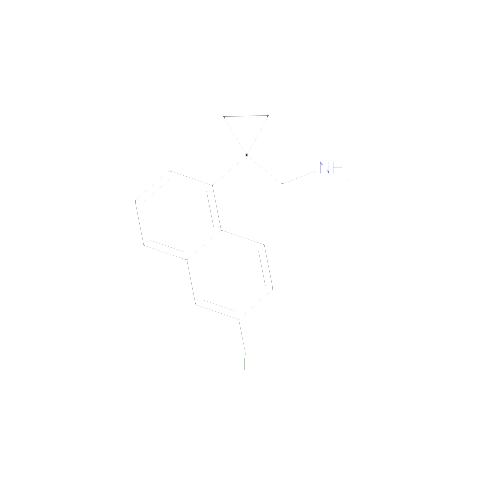 NCC1(c2cccc3cc(F)ccc23)CC1